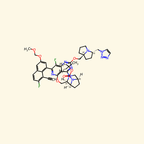 C#Cc1c(F)ccc2cc(OCOC)cc(-c3nc4c5c(nc(OC[C@@]67CCCN6[C@H](Cn6ccnn6)CC7)nc5c3F)N3C[C@H]5CC[C@@H]([C@H]3CO4)N5C(=O)OC(C)(C)C)c12